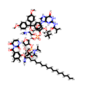 [C-]#[N+]CCOP(OC1[C@@H](COP(=O)(OCC[N+]#[C-])OC2[C@@H](COC(c3ccccc3)(c3ccc(OC)cc3)c3ccc(OC)cc3)O[C@@H](n3cnc4c(=O)[nH]c(NC(=O)C(C)C)nc43)[C@H]2O[Si](C)(C)C(C)(C)C)O[C@@H](n2ccc(=O)n(C(=O)c3cc(C)c(C)c(OCCCCCCCCCCCCCCCCCC)c3)c2=O)[C@H]1O[Si](C)(C)C(C)(C)C)N(C(C)C)C(C)C